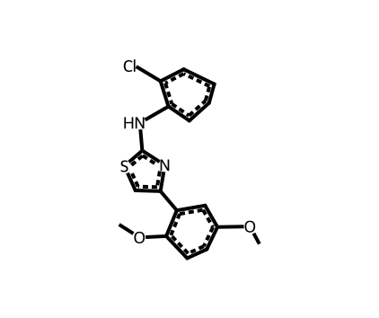 COc1ccc(OC)c(-c2csc(Nc3ccccc3Cl)n2)c1